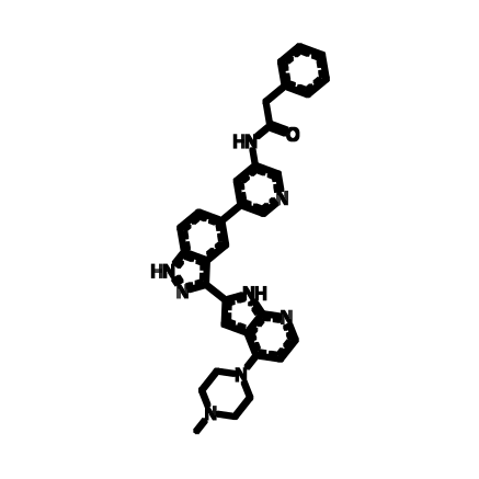 CN1CCN(c2ccnc3[nH]c(-c4n[nH]c5ccc(-c6cncc(NC(=O)Cc7ccccc7)c6)cc45)cc23)CC1